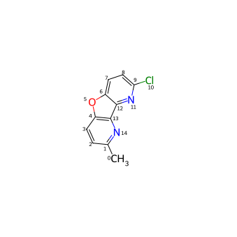 Cc1ccc2oc3ccc(Cl)nc3c2n1